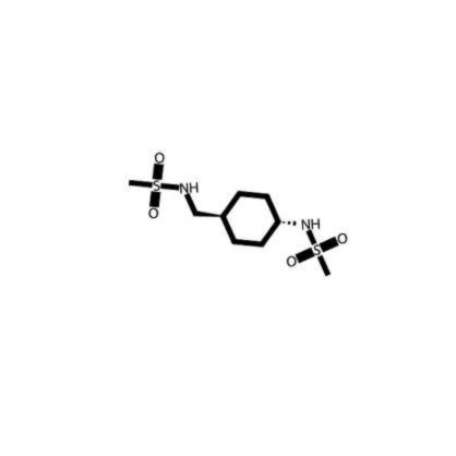 CS(=O)(=O)NC[C@H]1CC[C@H](NS(C)(=O)=O)CC1